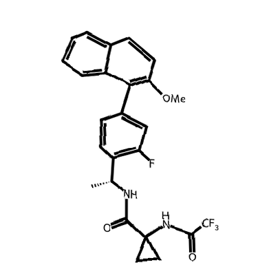 COc1ccc2ccccc2c1-c1ccc([C@@H](C)NC(=O)C2(NC(=O)C(F)(F)F)CC2)c(F)c1